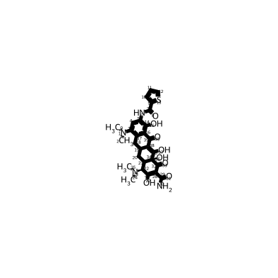 CN(C)c1cc(NC(=O)c2cccs2)c(O)c2c1CC1CC3[C@H](N(C)C)C(O)=C(C(N)=O)C(=O)[C@@]3(O)C(O)=C1C2=O